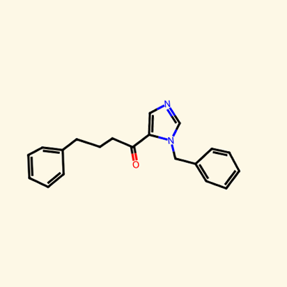 O=C(CCCc1ccccc1)c1cncn1Cc1ccccc1